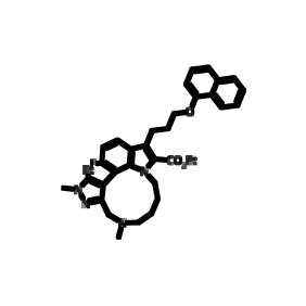 CCOC(=O)c1c(CCCOc2cccc3ccccc23)c2ccc(F)c3c2n1CCCCN(C)Cc1nn(C)c(CC)c1-3